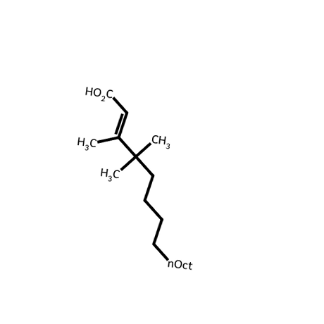 CCCCCCCCCCCCC(C)(C)C(C)=CC(=O)O